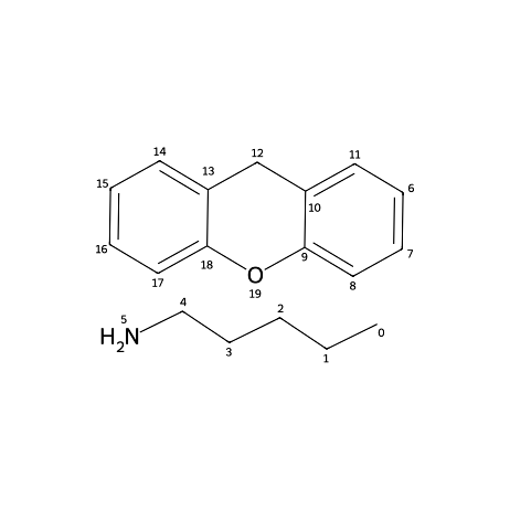 CCCCCN.c1ccc2c(c1)Cc1ccccc1O2